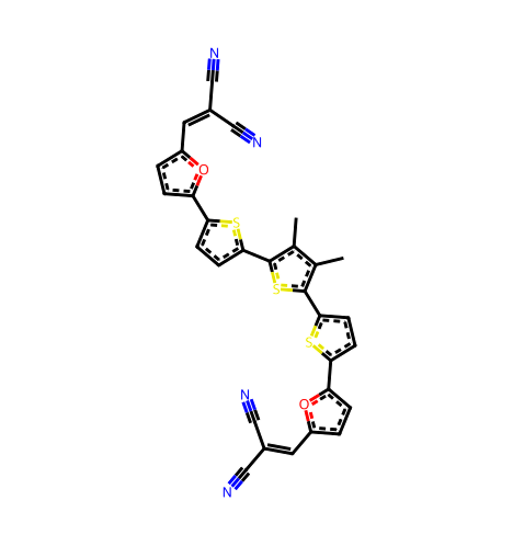 Cc1c(-c2ccc(-c3ccc(C=C(C#N)C#N)o3)s2)sc(-c2ccc(-c3ccc(C=C(C#N)C#N)o3)s2)c1C